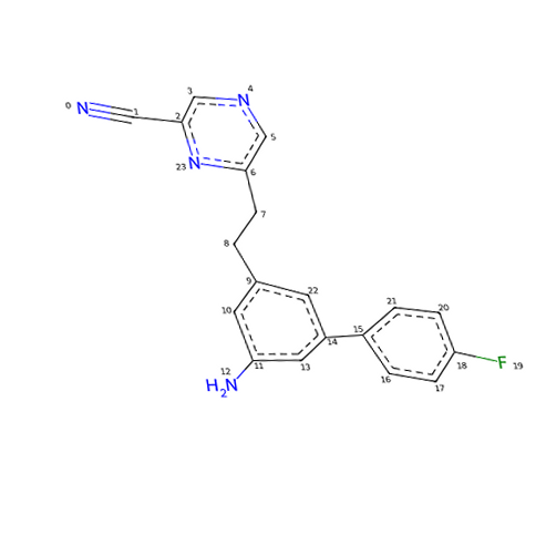 N#Cc1cncc(CCc2cc(N)cc(-c3ccc(F)cc3)c2)n1